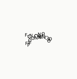 Cn1c(C(=O)NC2(C)CCS(=O)(=O)CC2)nc2ccc(Oc3ncc(F)cc3OCC(F)(F)F)nc21